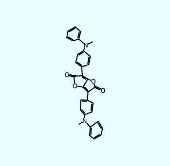 CN(c1ccccc1)c1ccc(C2=C3OC(=O)C(c4ccc(N(C)c5ccccc5)cc4)=C3OC2=O)cc1